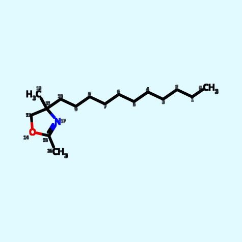 CCCCCCCCCCCC1(C)COC(C)=N1